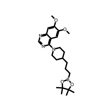 COc1cc2ncnc(N3CCC(CCCB4OC(C)(C)C(C)(C)O4)CC3)c2cc1OC